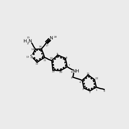 Cc1ccc(CNc2ccc(-c3csc(N)c3C#N)cc2)cc1